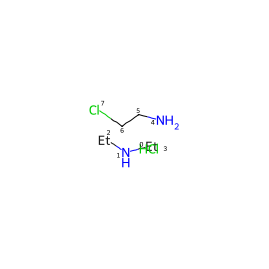 CCNCC.Cl.NCCCl